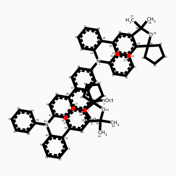 CCCCCCCCc1c(CCCCCCCC)c2cc(N(c3ccccc3)c3ccccc3-c3ccc4c(c3)C(C)(C)OC43CCCC3)ccc2c2ccc(N(c3ccccc3)c3ccccc3-c3ccc4c(c3)C(C)(C)OC43CCCC3)cc12